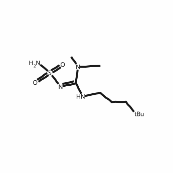 CN(C)/C(=N\S(N)(=O)=O)NCCCC(C)(C)C